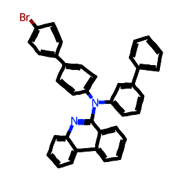 Brc1ccc(-c2ccc(N(c3cccc(-c4ccccc4)c3)c3nc4ccccc4c4ccccc34)cc2)cc1